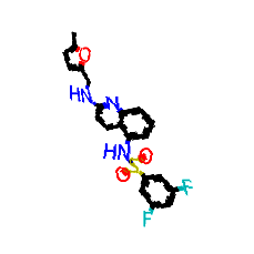 Cc1ccc(CNc2ccc3c(NS(=O)(=O)c4cc(F)cc(F)c4)cccc3n2)o1